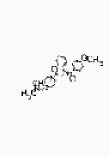 COc1ccc(C(=O)N(CC(=O)N2CCC(CN(C)C)CC2)c2ccccc2)cc1